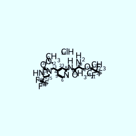 COC[C@H](c1ccnc(NC(=O)[C@@H](N)COC(C)(C)C(F)(F)F)c1)N1C[C@@H](C(F)(F)F)NC1=O.Cl